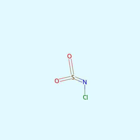 O=S(=O)=NCl